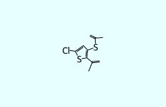 C=C(C)Sc1cc(Cl)sc1C(=C)C